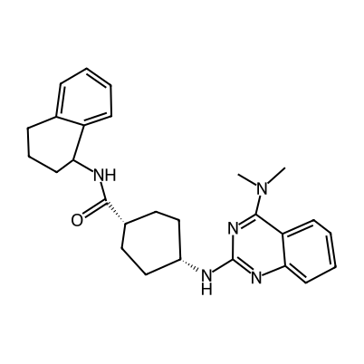 CN(C)c1nc(N[C@H]2CC[C@@H](C(=O)NC3CCCc4ccccc43)CC2)nc2ccccc12